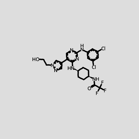 O=C(N[C@H]1CC[C@@H](Nc2nc(Nc3cc(Cl)cc(Cl)c3)ncc2-c2cnn(CCO)c2)CC1)C(F)(F)F